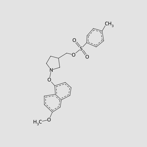 COc1ccc2c(ON3CCC(COS(=O)(=O)c4ccc(C)cc4)C3)cccc2c1